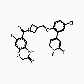 CN1CC=C(c2cc(Cl)ccc2OCC2CN(C(=O)c3cc4c(cc3F)OCC(=O)N4)C2)C=C1F